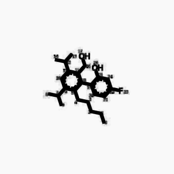 CCCCCc1c(C(C)C)cc(C(C)C)c(CO)c1-c1ccc(F)cc1O